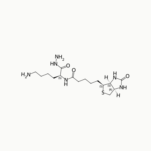 NCCCC[C@H](NC(=O)CCCC[C@@H]1SC[C@@H]2NC(=O)N[C@@H]21)C(=O)NN